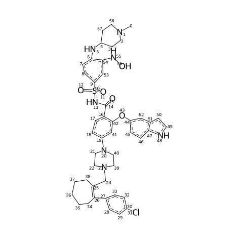 CN1CCC(Nc2ccc(S(=O)(=O)NC(=O)c3ccc(N4CCN(CC5=C(c6ccc(Cl)cc6)CCCCC5)CC4)cc3Oc3ccc4[nH]ccc4c3)cc2NO)CC1